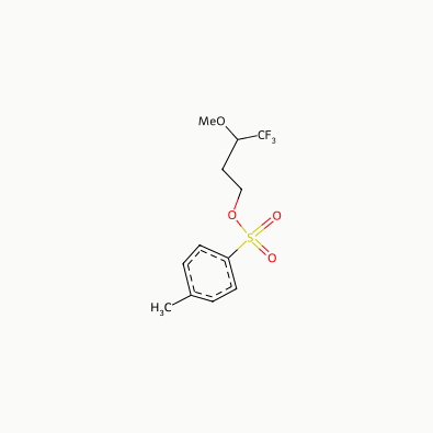 COC(CCOS(=O)(=O)c1ccc(C)cc1)C(F)(F)F